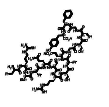 CC[C@H](C)[C@H](NC(=O)[C@H](CCCNC(=N)N)NC(=O)C(N)CC(C)C)C(=O)N[C@H](C(=O)N[C@@H](CCC(N)=O)C(=O)N[C@@H](CS)C(=O)N[C@@H](CCCNC(=N)N)C(=O)N[C@@H](CO)C(=O)N[C@H](C(=O)N[C@@H](CCC(=O)O)C(=O)NCC(=O)N[C@@H](CO)C(=O)N[C@@H](CS)C(=O)NCC(=O)N[C@@H](Cc1ccccc1)C(=O)N[C@@H](Cc1ccc(O)cc1)C(=O)O)C(C)C)C(C)C